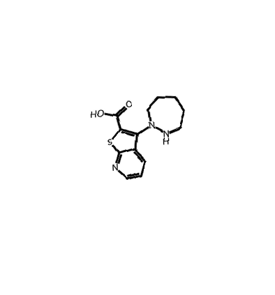 O=C(O)c1sc2ncccc2c1N1CCCCCN1